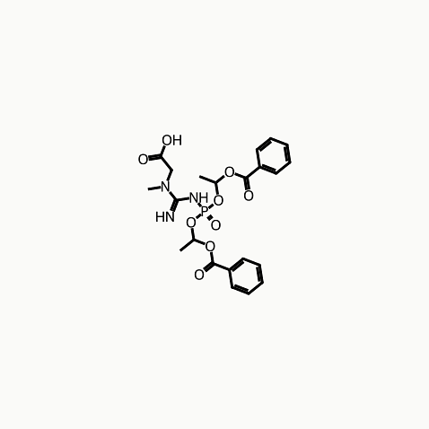 CC(OC(=O)c1ccccc1)OP(=O)(NC(=N)N(C)CC(=O)O)OC(C)OC(=O)c1ccccc1